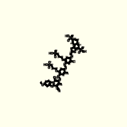 COc1ccc2c(c1)nc1c(C#N)c(C)c(N=Nc3cc(C)c(N=Nc4cc(Cl)c(N=Nc5nc6c(S(=O)(=O)O)cc7ccc(S(=O)(=O)O)cc7c6s5)cc4SCCCS(=O)(=O)O)cc3OCCCS(=O)(=O)O)c(O)n12